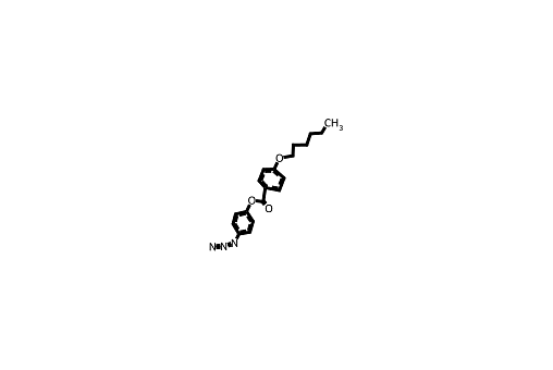 CCCCCCOc1ccc(C(=O)Oc2ccc(N=[N+]=[N-])cc2)cc1